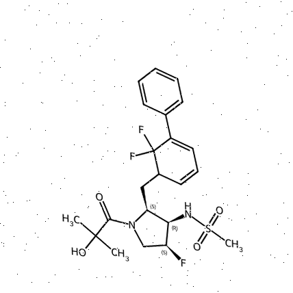 CC(C)(O)C(=O)N1C[C@H](F)[C@H](NS(C)(=O)=O)[C@@H]1CC1C=CC=C(c2ccccc2)C1(F)F